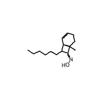 CCCCCCC1/C(=N\O)C2(C)CCC=CC12